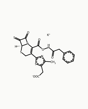 Cc1nc(C2=C(C(=O)ONC(=O)Cc3ccccc3)N3C(=O)C(=S)[C@@H]3SC2)sc1CC(=O)[O-].[K+]